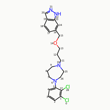 Clc1cccc(N2CCCN(CCCOCc3ccc4cn[nH]c4c3)CC2)c1Cl